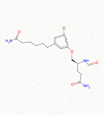 NC(=O)CCCCCc1cc(Cl)cc(OC[C@H](CCC(N)=O)NC=O)c1